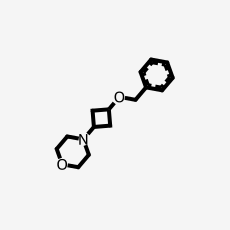 c1ccc(COC2CC(N3CCOCC3)C2)cc1